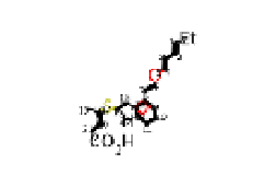 CCC=CCCOCC[C@H]1C2CC[C@H](O2)[C@H]1CCS[C@H](C)CCC(=O)O